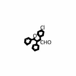 O=CC(=C(C(=O)c1ccccc1)c1ccccc1)c1ccc(Cl)cc1